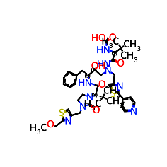 COCc1nc(CN2CCN([C@H](C(=O)N[C@@H](Cc3ccccc3)[C@@H](O)CN(Cc3csc(-c4ccncc4)n3)NC(=O)[C@@H](NC(=O)O)C(C)(C)C)C(C)(C)C)C2=O)cs1